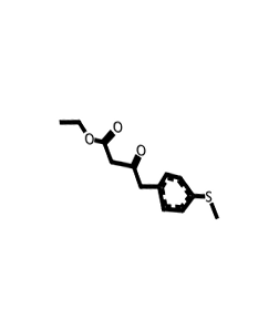 CCOC(=O)CC(=O)Cc1ccc(SC)cc1